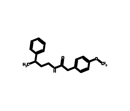 CC(CCNC(=O)Cc1ccc(OC(F)(F)F)cc1)c1ccccc1